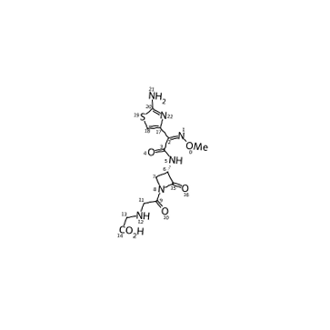 CON=C(C(=O)N[C@H]1CN(C(=O)CNCC(=O)O)C1=O)c1csc(N)n1